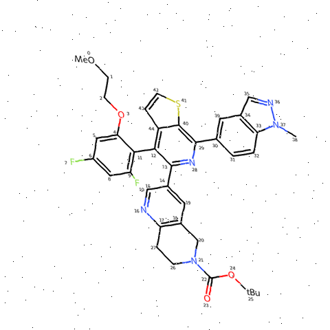 COCCOc1cc(F)cc(F)c1-c1c(-c2cnc3c(c2)CN(C(=O)OC(C)(C)C)CC3)nc(-c2ccc3c(cnn3C)c2)c2sccc12